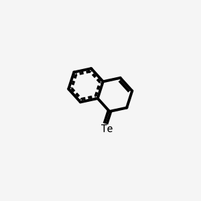 [Te]=C1CC=Cc2ccccc21